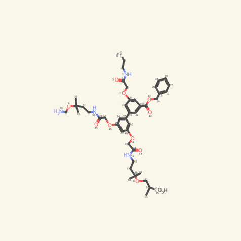 CC(C)CCNC(=O)COc1cc(C(=O)OCc2ccccc2)cc(-c2cc(OCC(=O)NCCC(C)(C)OCN)cc(OCC(=O)NCCC(C)(C)OCC(C)C(=O)O)c2)c1